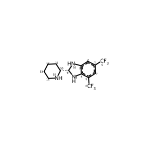 FC(F)(F)c1cc2c(c(C(F)(F)F)c1)NC([C@H]1CCCCN1)N2